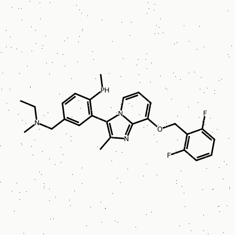 CCN(C)Cc1ccc(PC)c(-c2c(C)nc3c(OCc4c(F)cccc4F)cccn23)c1